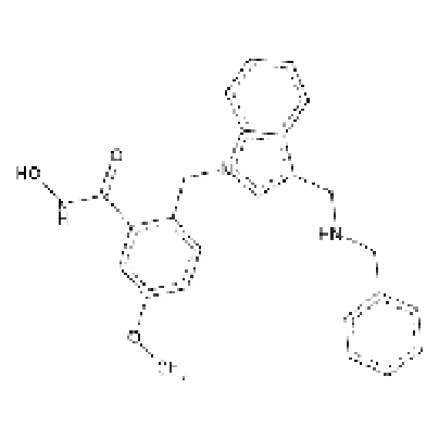 COc1ccc(Cn2cc(CNCc3ccccc3)c3ccccc32)c(C(=O)NO)c1